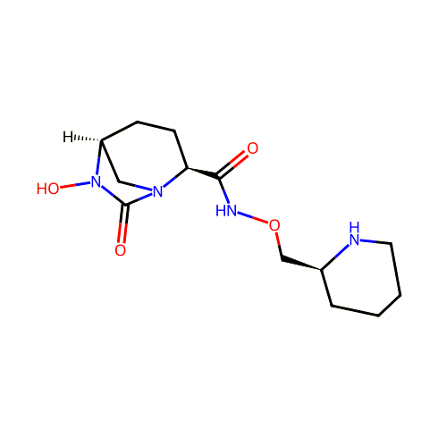 O=C(NOC[C@@H]1CCCCN1)[C@@H]1CC[C@H]2CN1C(=O)N2O